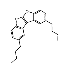 CCCCc1ccc2oc3oc4ccc(CCCC)cc4c3c2c1